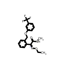 CCO/N=C(\C(=O)NC)c1ccccc1COc1cccc(C(F)(F)F)c1